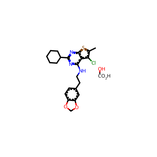 Cc1sc2nc(C3CCCCC3)nc(NCCc3ccc4c(c3)OCO4)c2c1Cl.O=C(O)O